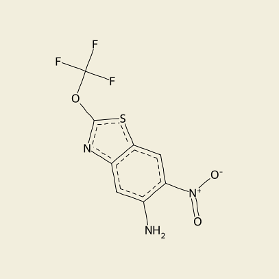 Nc1cc2nc(OC(F)(F)F)sc2cc1[N+](=O)[O-]